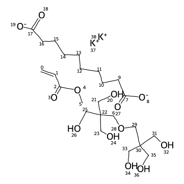 C=CC(=O)OC.O=C([O-])CCCCCCCCC(=O)[O-].OCC(CO)(CO)COCC(CO)(CO)CO.[K+].[K+]